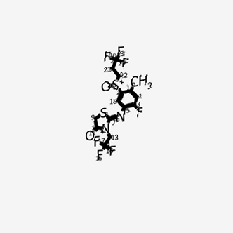 Cc1cc(F)c(N=C2SCC(=O)N2CC(F)(F)F)cc1[S+]([O-])CCC(F)(F)F